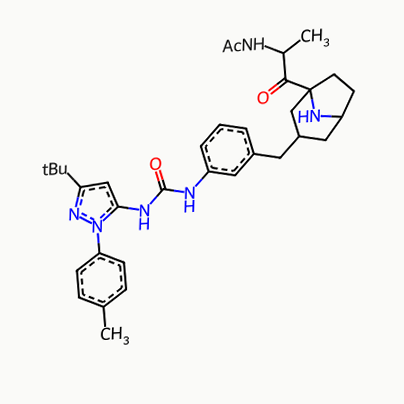 CC(=O)NC(C)C(=O)C12CCC(CC(Cc3cccc(NC(=O)Nc4cc(C(C)(C)C)nn4-c4ccc(C)cc4)c3)C1)N2